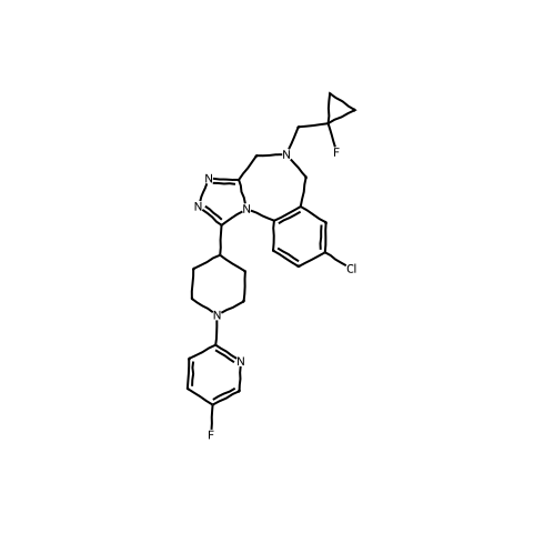 Fc1ccc(N2CCC(c3nnc4n3-c3ccc(Cl)cc3CN(CC3(F)CC3)C4)CC2)nc1